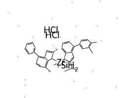 CC1=Cc2c(-c3ccccc3)ccc(C)c2[CH]1[Zr]([CH3])([CH3])(=[SiH2])[CH]1C(C(C)C)=Cc2c(-c3ccc(C)c(C)c3)cccc21.Cl.Cl